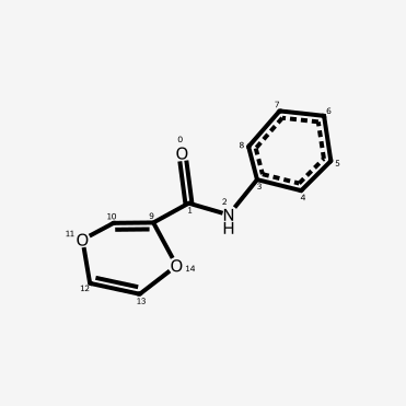 O=C(Nc1ccccc1)C1=COC=CO1